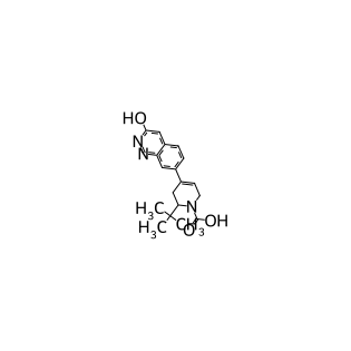 CC(C)(C)C1CC(c2ccc3cc(O)nnc3c2)=CCN1C(=O)O